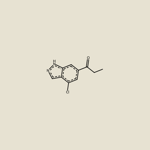 CCC(=O)c1cc(Cl)c2cn[nH]c2c1